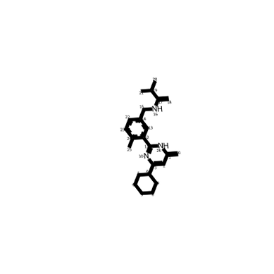 C=C1C=C(C2CCCCC2)N=C(c2cc(CNC(=C)C(C)C)ccc2C)N1